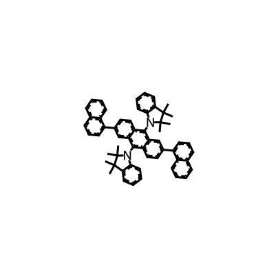 CC1(C)c2ccccc2N(c2c3ccc(-c4cccc5ccccc45)cc3c(N3c4ccccc4C(C)(C)C3(C)C)c3ccc(-c4cccc5ccccc45)cc23)C1(C)C